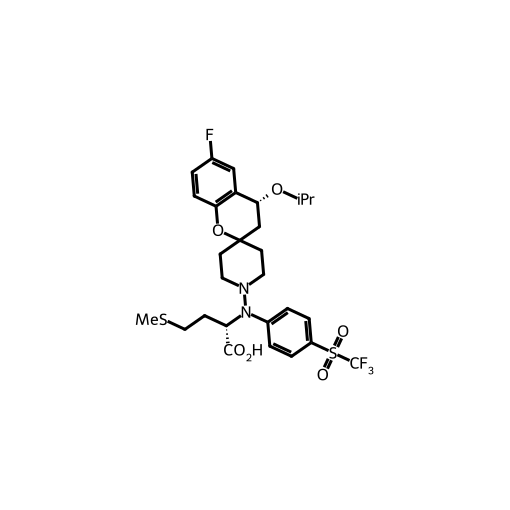 CSCC[C@@H](C(=O)O)N(c1ccc(S(=O)(=O)C(F)(F)F)cc1)N1CCC2(CC1)C[C@@H](OC(C)C)c1cc(F)ccc1O2